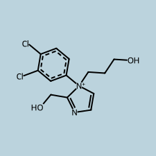 OCCC[N+]1(c2ccc(Cl)c(Cl)c2)C=CN=C1CO